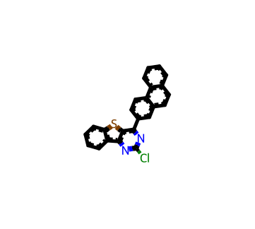 Clc1nc(-c2ccc3c(ccc4ccccc43)c2)c2sc3ccccc3c2n1